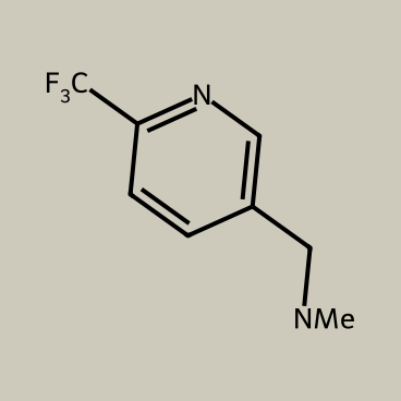 [CH2]NCc1ccc(C(F)(F)F)nc1